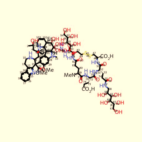 CC[C@](C)(O)C[C@@H](C)CC1NCCc2c([nH]c3ccccc23)C1(C(=O)OC)c1cc2c(cc1OC)N(C)[C@H]1[C@@](O)(ONNC(=O)OCCSSC[C@H](NC(=O)[C@H](CCC(=O)NC[C@H](O)[C@@H](O)[C@H](O)[C@H](O)CO)NC(=O)[C@H](CCC(=O)O)NC(=O)[C@H](CCC(=O)NC[C@H](O)[C@@H](O)[C@H](O)[C@H](O)CO)NC)C(=O)O)[C@H](O)[C@]3(CC)C=CCN4CC[C@]21[C@@H]43